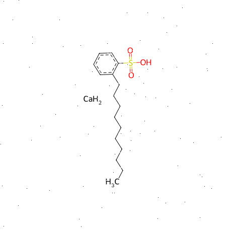 CCCCCCCCCCc1ccccc1S(=O)(=O)O.[CaH2]